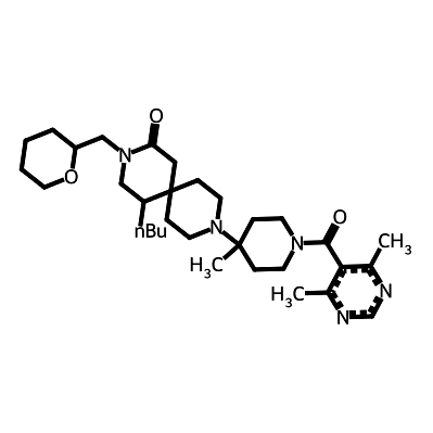 CCCCC1CN(CC2CCCCO2)C(=O)CC12CCN(C1(C)CCN(C(=O)c3c(C)ncnc3C)CC1)CC2